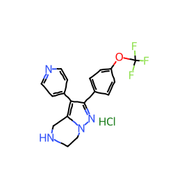 Cl.FC(F)(F)Oc1ccc(-c2nn3c(c2-c2ccncc2)CNCC3)cc1